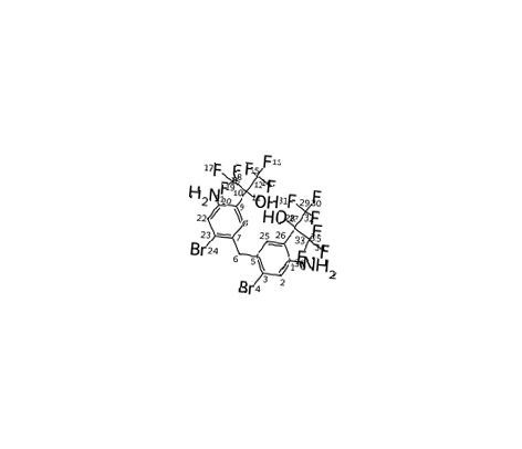 Nc1cc(Br)c(Cc2cc(C(O)(C(F)(F)F)C(F)(F)F)c(N)cc2Br)cc1C(O)(C(F)(F)F)C(F)(F)F